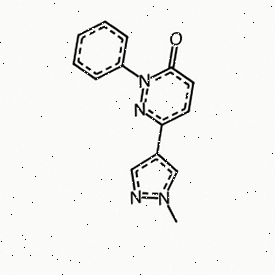 Cn1cc(-c2ccc(=O)n(-c3ccccc3)n2)cn1